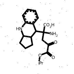 CC(C)OC(=O)C(=O)CC(N)(C(=O)O)C1c2ccccc2NC2CCCC21